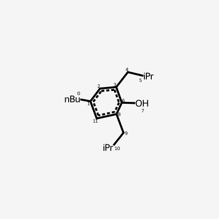 CCCCc1cc(CC(C)C)c(O)c(CC(C)C)c1